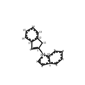 C1=C(n2ccc3ccccc32)Cc2ccccc21